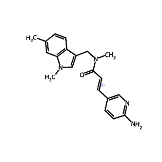 Cc1ccc2c(CN(C)C(=O)/C=C/c3ccc(N)nc3)cn(C)c2c1